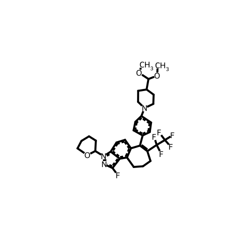 COC(OC)C1CCN(c2ccc(C3=C(C(F)(F)C(F)(F)F)CCCc4c3ccc3c4c(F)nn3C3CCCCO3)cc2)CC1